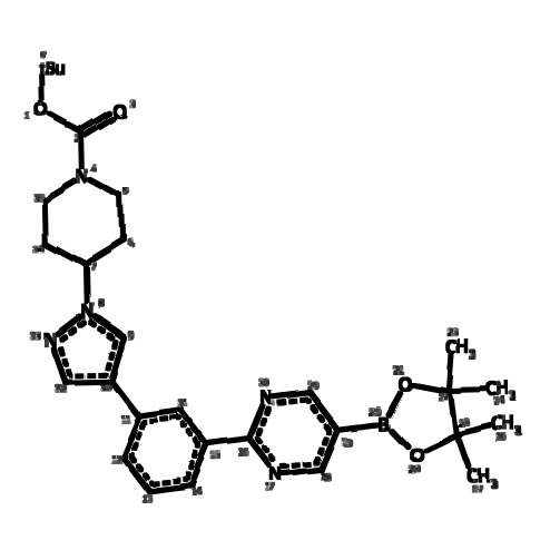 CC(C)(C)OC(=O)N1CCC(n2cc(-c3cccc(-c4ncc(B5OC(C)(C)C(C)(C)O5)cn4)c3)cn2)CC1